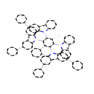 Cc1ccccc1-c1c(-n2c3ccc(-c4ccccc4)cc3c3cc(-c4ccccc4)ccc32)c(-n2c3ccccc3c3ccccc32)c(C#N)c(-n2c3ccccc3c3ccccc32)c1-n1c2ccc(-c3ccccc3)cc2c2cc(-c3ccccc3)ccc21